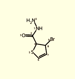 NNC(=O)C1SC=CC1Br